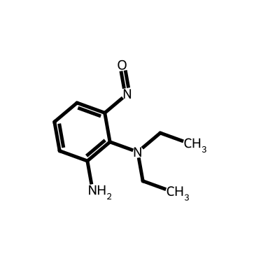 CCN(CC)c1c(N)cccc1N=O